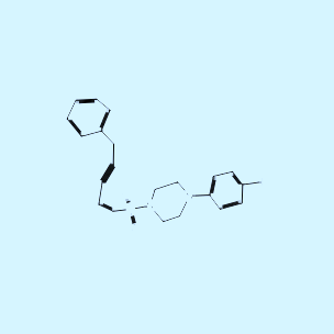 O=S(=O)(/C=C\C#CCc1ccccc1)N1CCN(c2ccc(F)cc2)CC1